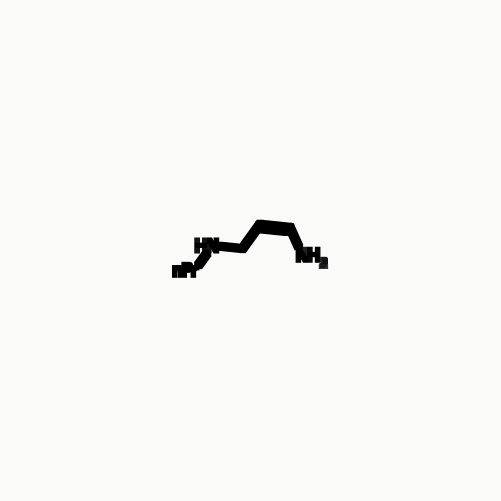 CCCNC/C=C\N